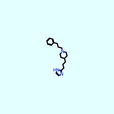 c1ccc(CCCN2CCC(CCCc3ncc[nH]3)CC2)cc1